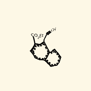 C#Cc1c(C(=O)OCC)ccc2ccccc12